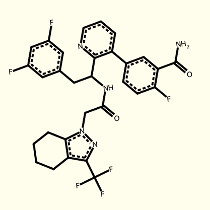 NC(=O)c1cc(-c2cccnc2C(Cc2cc(F)cc(F)c2)NC(=O)Cn2nc(C(F)(F)F)c3c2CCCC3)ccc1F